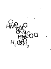 CN(C)CC(=O)N[C@H](Cc1ccc(Cl)cc1)C(=O)N1CCC2(CC1)C(=O)N(CC(=O)NC1CCCCC1)CN2c1ccccc1